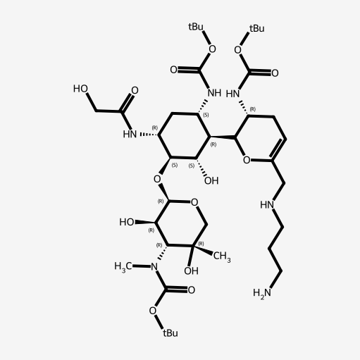 CN(C(=O)OC(C)(C)C)[C@@H]1[C@@H](O)[C@@H](O[C@@H]2[C@@H](O)[C@H](C3OC(CNCCCN)=CC[C@H]3NC(=O)OC(C)(C)C)[C@@H](NC(=O)OC(C)(C)C)C[C@H]2NC(=O)CO)OC[C@]1(C)O